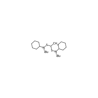 CCC(C)N(SC(C)SN(C(C)CC)C1CCCCC1)C1CCCCC1